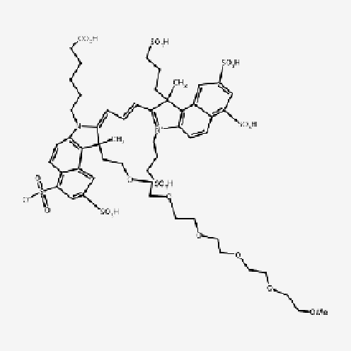 COCCOCCOCCOCCOCCOCCC1(C)/C(=C\C=C\C2=[N+](CCCS(=O)(=O)O)c3ccc4c(S(=O)(=O)O)cc(S(=O)(=O)O)cc4c3C2(C)CCCS(=O)(=O)O)N(CCCCCC(=O)O)c2ccc3c(S(=O)(=O)[O-])cc(S(=O)(=O)O)cc3c21